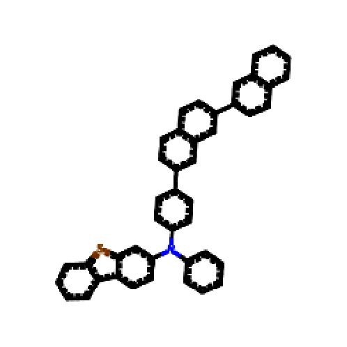 c1ccc(N(c2ccc(-c3ccc4ccc(-c5ccc6ccccc6c5)cc4c3)cc2)c2ccc3c(c2)sc2ccccc23)cc1